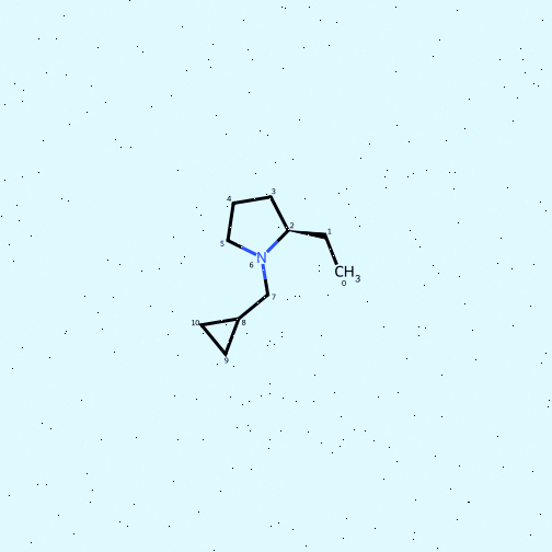 CC[C@@H]1CCCN1CC1CC1